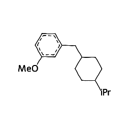 COc1cccc(CC2CCC(C(C)C)CC2)c1